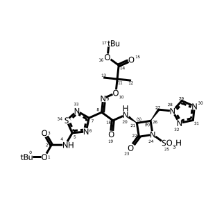 CC(C)(C)OC(=O)Nc1nc(C(=NOC(C)(C)C(=O)OC(C)(C)C)C(=O)N[C@@H]2C(=O)N(S(=O)(=O)O)[C@@H]2Cn2cncn2)ns1